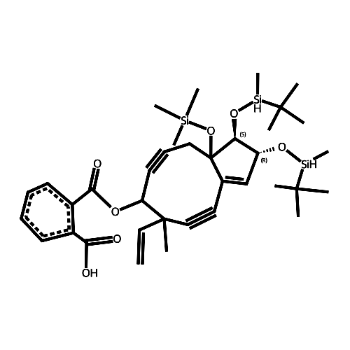 C=CC1(C)C#CC2=C[C@@H](O[SiH](C)C(C)(C)C)[C@H](O[SiH](C)C(C)(C)C)C2(O[Si](C)(C)C)CC#CC1OC(=O)c1ccccc1C(=O)O